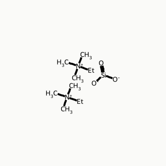 CC[N+](C)(C)C.CC[N+](C)(C)C.O=[Si]([O-])[O-]